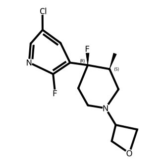 C[C@H]1CN(C2COC2)CC[C@]1(F)c1cc(Cl)cnc1F